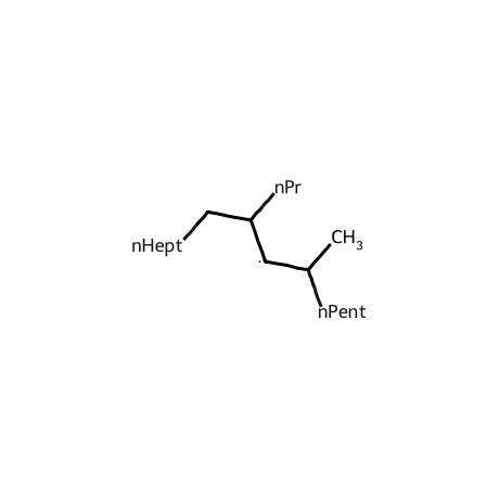 CCCCCCCCC([CH]C(C)CCCCC)CCC